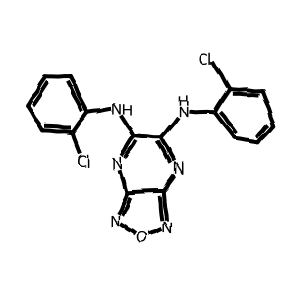 Clc1ccccc1Nc1nc2nonc2nc1Nc1ccccc1Cl